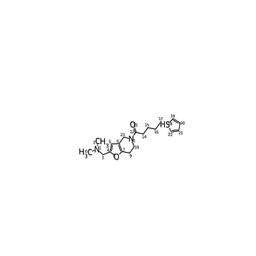 CN(C)Cc1cc2c(o1)CCN(C(=O)CCCC[SH]1C=CC=C1)C2